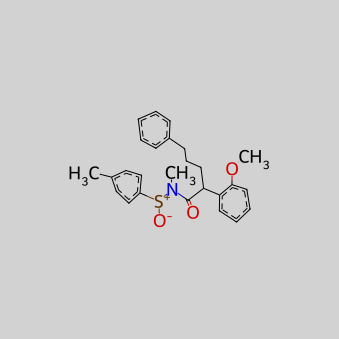 COc1ccccc1C(CCCc1ccccc1)C(=O)N(C)[S+]([O-])c1ccc(C)cc1